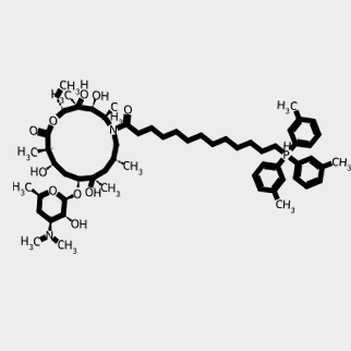 CC[C@H]1OC(=O)[C@H](C)[C@@H](O)C[C@@H](O[C@@H]2O[C@H](C)C[C@H](N(C)C)[C@H]2O)[C@](C)(O)C[C@@H](C)CN(C(=O)CCCCCCCCCCCC[PH](c2cccc(C)c2)(c2cccc(C)c2)c2cccc(C)c2)[C@H](C)[C@@H](O)[C@]1(C)O